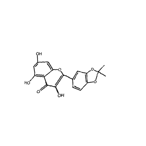 CC1(C)Oc2ccc(-c3oc4cc(O)cc(O)c4c(=O)c3O)cc2O1